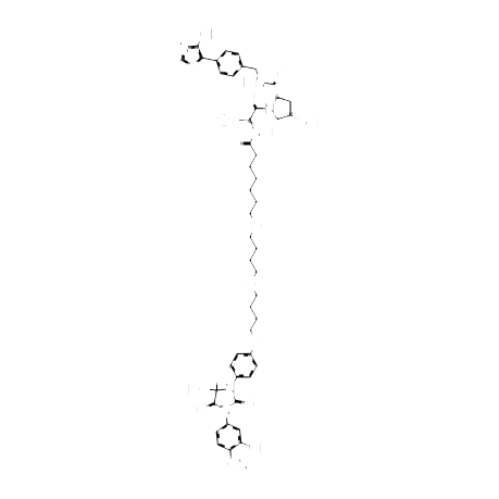 Cc1ncsc1-c1ccc(CNC(=O)[C@@H]2C[C@@H](O)CN2C(=O)[C@@H](NC(=O)CCCCCCOCCCCOCCCCOc2ccc(N3C(=O)N(c4ccc(C#N)c(C(F)(F)F)c4)C(=O)C3(C)C)cc2)C(C)(C)C)cc1